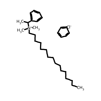 CCCCCCCCCCCCCCCC[N+](C)(C)C(C)c1ccccc1.[Cl-].c1ccccc1